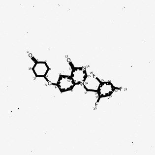 O=C1CCC(Oc2ccc3c(c2)c(=O)ncn3Cc2c(F)cc(F)cc2F)CC1